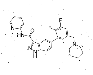 O=C(Nc1ccccn1)c1n[nH]c2ccc(-c3cc(CN4CCCCC4)cc(F)c3F)cc12